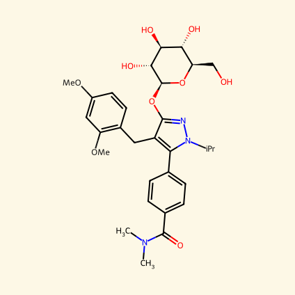 COc1ccc(Cc2c(O[C@@H]3O[C@H](CO)[C@@H](O)[C@H](O)[C@H]3O)nn(C(C)C)c2-c2ccc(C(=O)N(C)C)cc2)c(OC)c1